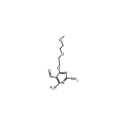 COCCOCCOc1nc(N)nc(N)c1N=O